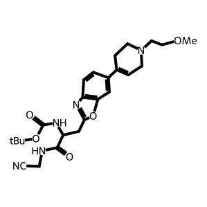 COCCN1CC=C(c2ccc3nc(CC(NC(=O)OC(C)(C)C)C(=O)NCC#N)oc3c2)CC1